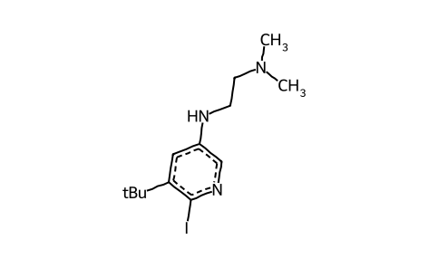 CN(C)CCNc1cnc(I)c(C(C)(C)C)c1